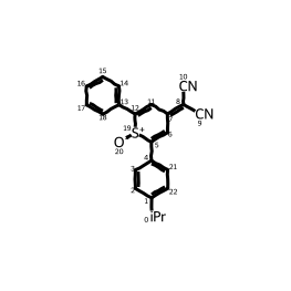 CC(C)c1ccc(C2=CC(=C(C#N)C#N)C=C(c3ccccc3)[S+]2[O-])cc1